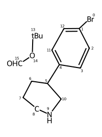 Brc1ccc(C2CCCNC2)cc1.CC(C)(C)OC=O